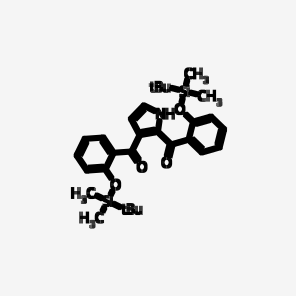 CC(C)(C)[Si](C)(C)Oc1ccccc1C(=O)c1cc[nH]c1C(=O)c1ccccc1O[Si](C)(C)C(C)(C)C